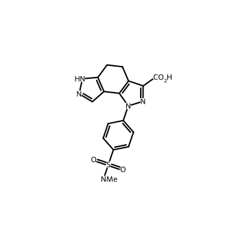 CNS(=O)(=O)c1ccc(-n2nc(C(=O)O)c3c2-c2cn[nH]c2CC3)cc1